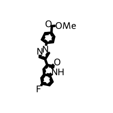 COC(=O)c1ccc(-n2cc(-c3cc4cc(F)ccc4[nH]c3=O)cn2)cc1